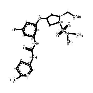 COC[C@@H]1C[C@H](Oc2cc(F)cc(NC(=O)Nc3ccc(C)nc3)c2)CN1S(=O)(=O)N(C)C